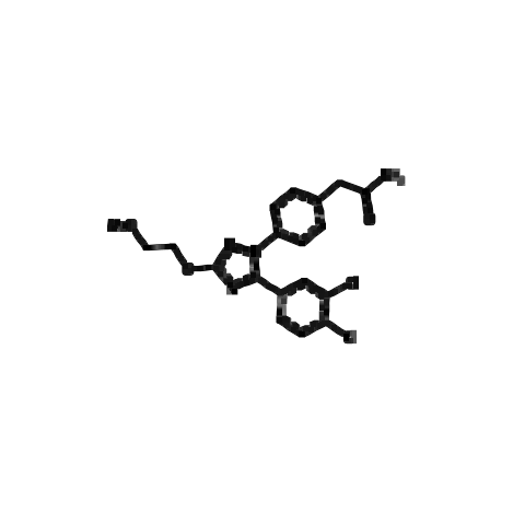 COCCOc1nc(-c2ccc(Cl)c(Cl)c2)n(-c2ccc(CC(N)=O)cc2)n1